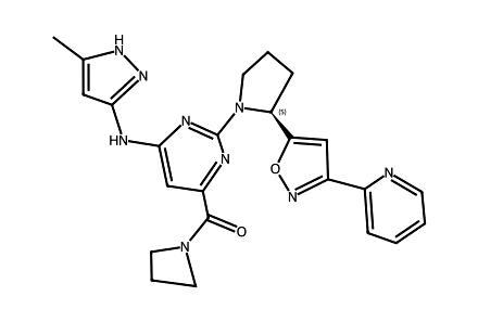 Cc1cc(Nc2cc(C(=O)N3CCC3)nc(N3CCC[C@H]3c3cc(-c4ccccn4)no3)n2)n[nH]1